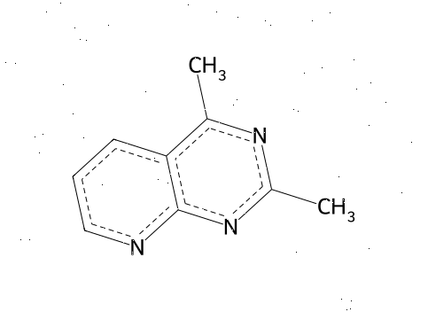 Cc1nc(C)c2cccnc2n1